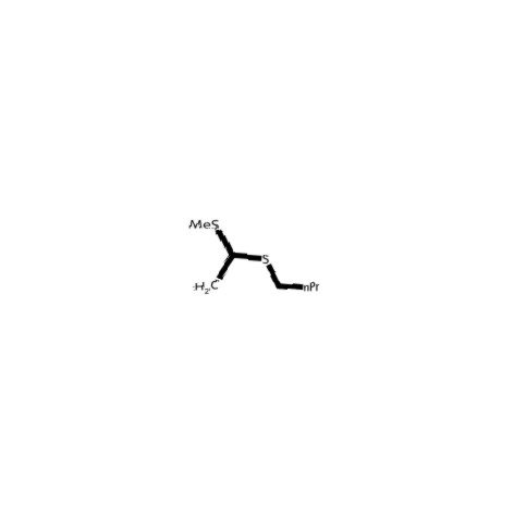 [CH2]C(SC)SCCCC